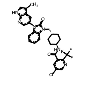 Cc1c[nH]c2ncc(-n3c(=O)n(C[C@H]4CC[C@H](NC(=O)c5cc(Cl)cnc5C(F)(F)F)CC4)c4ccccc43)cc12